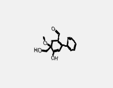 COC1(CO)CC(C=O)=C(c2ccccc2)C=C1O